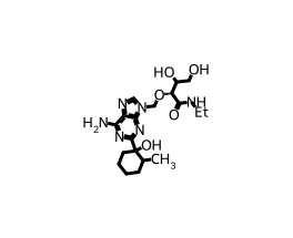 CCNC(=O)[C@@H](OCn1cnc2c(N)nc(C3(O)CCCCC3C)nc21)C(O)CO